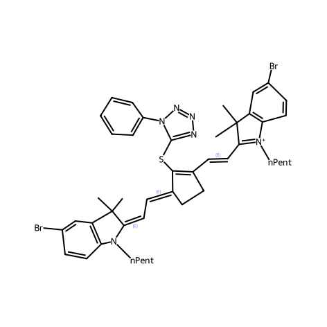 CCCCCN1/C(=C/C=C2\CCC(/C=C/C3=[N+](CCCCC)c4ccc(Br)cc4C3(C)C)=C2Sc2nnnn2-c2ccccc2)C(C)(C)c2cc(Br)ccc21